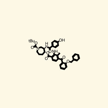 Cc1c(C(=O)c2ccccc2OCc2ccccc2)ccc(C(=O)O[C@@H]2CCCN(C(=O)OC(C)(C)C)C[C@H]2NC(=O)c2ccc(O)cc2)c1N